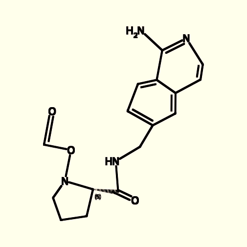 Nc1nccc2cc(CNC(=O)[C@@H]3CCCN3OC=O)ccc12